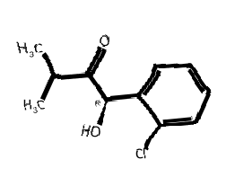 CC(C)C(=O)[C@H](O)c1ccccc1Cl